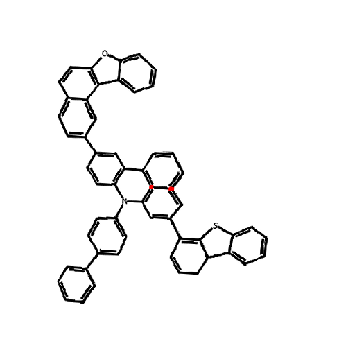 C1=CC(c2cccc(N(c3ccc(-c4ccccc4)cc3)c3ccc(-c4ccc5ccc6oc7ccccc7c6c5c4)cc3-c3ccccc3)c2)=C2Sc3ccccc3C2C1